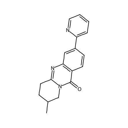 CC1CCc2nc3cc(-c4ccccn4)ccc3c(=O)n2C1